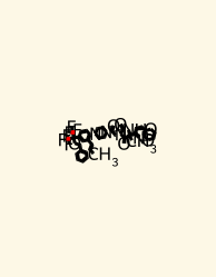 CC=Cc1cc(C(OCc2ccccc2)(C(F)(F)F)C(F)(F)F)ccc1N1CCN(C(=O)CN2C(=O)NC(C)(c3ccc4c(n3)OCCO4)C2=O)CC1